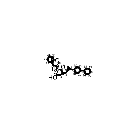 O=C(O)CC(CC1CC1c1ccc(-c2ccccc2)cc1)C(=O)N[C@H](CO)Cc1ccccc1